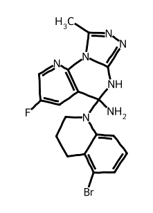 Cc1nnc2n1-c1ncc(F)cc1C(N)(N1CCCc3c(Br)cccc31)N2